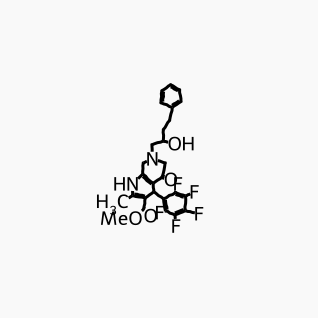 COC(=O)C1=C(C)NC2=C(C(=O)CN(CC(O)CCc3ccccc3)C2)C1c1c(F)c(F)c(F)c(F)c1F